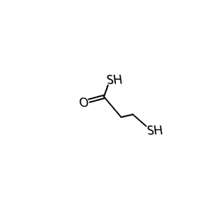 O=C(S)CCS